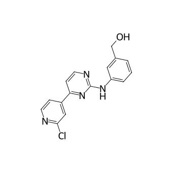 OCc1cccc(Nc2nccc(-c3ccnc(Cl)c3)n2)c1